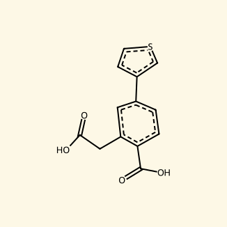 O=C(O)Cc1cc(-c2ccsc2)ccc1C(=O)O